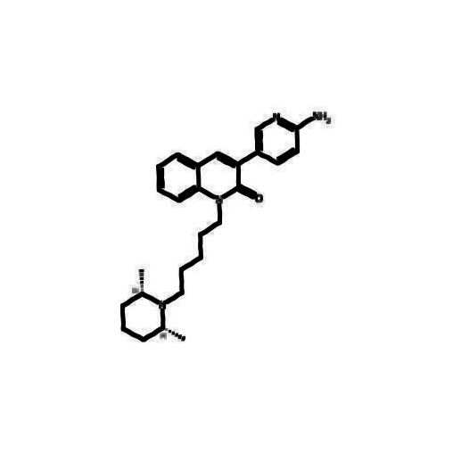 C[C@@H]1CCC[C@H](C)N1CCCCCn1c(=O)c(-c2ccc(N)nc2)cc2ccccc21